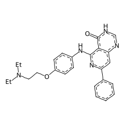 CCN(CC)CCOc1ccc(Nc2nc(-c3ccccc3)cc3nc[nH]c(=O)c23)cc1